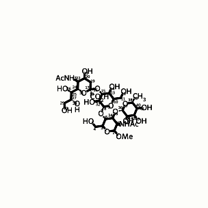 COC1OC(CO)[C@@H](O[C@@H]2OC(CO)C(O)[C@H](O[C@]3(C(=O)O)CC(O)C(NC(C)=O)[C@H]([C@H](O)[C@H](O)CO)O3)C2O)C(O[C@@H]2O[C@@H](C)C(O)C(O)C2O)C1NC(C)=O